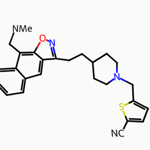 CNCc1c2ccccc2cc2c(CCC3CCN(Cc4ccc(C#N)s4)CC3)noc12